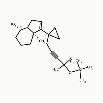 CC(C)(C#CCC1(C2=CCC3[C@@H](O)CCC[C@]23C)CC1)O[Si](C)(C)C